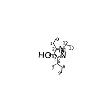 CCc1c(O)c(C(C)CC)nn1CC